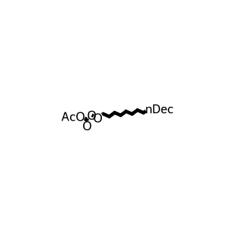 CCCCCCCCCCCCCCCCCCOOC(=O)OC(C)=O